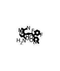 Cc1ccc(C(O)(CC#Cc2c(C(N)=O)ccn3ncc(C#N)c23)c2cc(F)ccc2F)c(=O)n1C